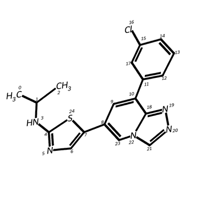 CC(C)Nc1ncc(-c2cc(-c3cccc(Cl)c3)c3nncn3c2)s1